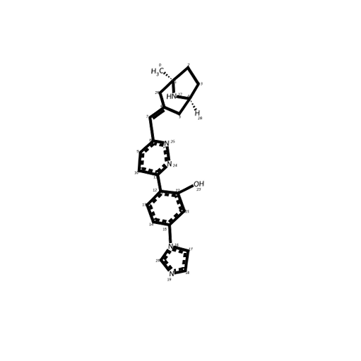 C[C@@]12CC[C@@H](C/C(=C\c3ccc(-c4ccc(-n5ccnc5)cc4O)nn3)C1)N2